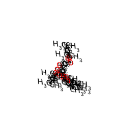 CC(C)c1ccc(C(C)(C)OOC(=O)C2=CC=C(C(=O)c3ccc(C(=O)OOC(C)(C)c4ccc(C(C)C)cc4)cc3)CC2(C(=O)OOC(C)(C)c2ccc(C(C)C)cc2)C(=O)OOC(C)(C)c2ccc(C(C)C)cc2)cc1